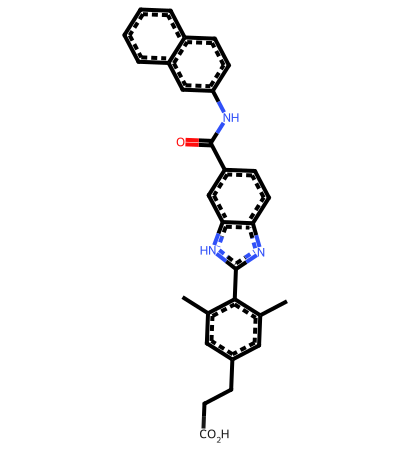 Cc1cc(CCC(=O)O)cc(C)c1-c1nc2ccc(C(=O)Nc3ccc4ccccc4c3)cc2[nH]1